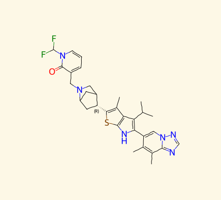 Cc1c(-c2[nH]c3sc([C@@H]4CC5CC4CN5Cc4cccn(C(F)F)c4=O)c(C)c3c2C(C)C)cn2ncnc2c1C